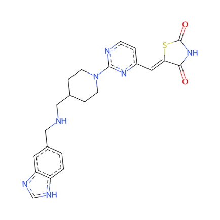 O=C1NC(=O)/C(=C/c2ccnc(N3CCC(CNCc4ccc5[nH]cnc5c4)CC3)n2)S1